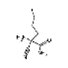 CCCCC(N)(C#N)C(N)=O